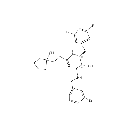 CCc1cccc(CNC[C@@H](O)[C@H](Cc2cc(F)cc(F)c2)NC(=O)CSC2(O)CCCC2)c1